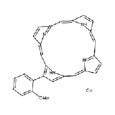 COc1ccccc1-c1cc2cc3nc(cc4ccc(cc5nc(cc1[nH]2)C=C5)[nH]4)C=C3.[Co]